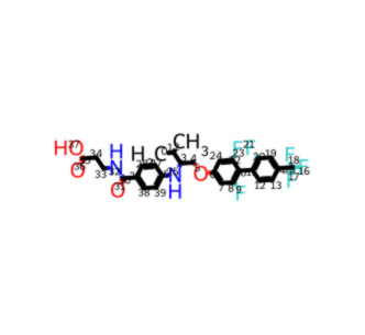 CC(C)C(COc1cc(F)c(-c2ccc(C(F)(F)F)cc2F)c(F)c1)Nc1ccc(C(=O)NCCC(=O)O)cc1